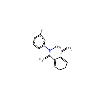 C=CC1=CCCC=C1C(=C)N(C)c1cccc(F)c1